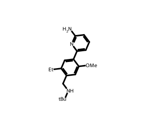 CCc1cc(-c2cccc(N)n2)c(OC)cc1CNC(C)(C)C